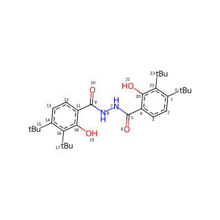 CC(C)(C)c1ccc(C(=O)NNC(=O)c2ccc(C(C)(C)C)c(C(C)(C)C)c2O)c(O)c1C(C)(C)C